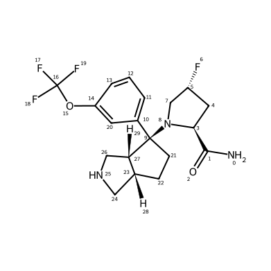 NC(=O)[C@@H]1C[C@@H](F)CN1[C@@]1(c2cccc(OC(F)(F)F)c2)CC[C@@H]2CNC[C@@H]21